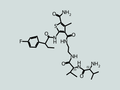 CCC(C(=O)Nc1sc(C(N)=O)c(C)c1C(=O)NCCNC(=O)[C@@H](NC(=O)[C@@H](N)C(C)C)C(C)C)c1ccc(F)cc1